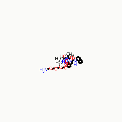 CC(C(=O)NC(C(=O)N1Cc2cc(OCCOCCOCCOCCN)ccc2CC1C(=O)N[C@@H]1CCCc2ccccc21)C(C)(C)C)N(C)C(=O)O